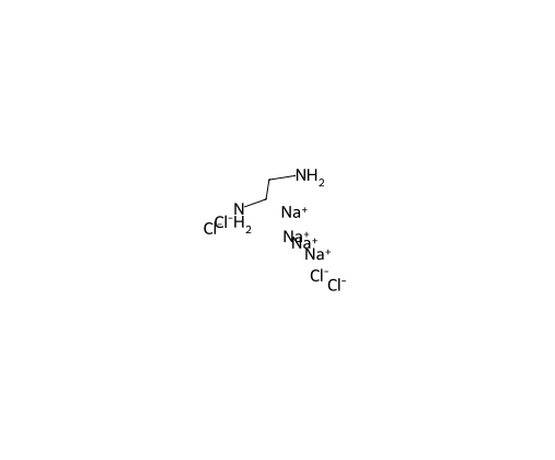 NCCN.[Cl-].[Cl-].[Cl-].[Cl-].[Na+].[Na+].[Na+].[Na+]